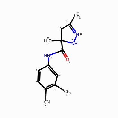 CC1(C(=O)Nc2ccc(C#N)c(C(F)(F)F)c2)CC(C(F)(F)F)=NN1